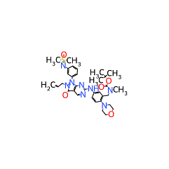 C=CCn1c(=O)c2cnc(Nc3ccc(N4CCOCC4)c(CN(C)C(=O)OC(C)(C)C)c3)nc2n1-c1cccc(N=S(C)(C)=O)c1